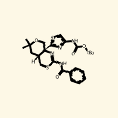 CC(C)(C)OC(=O)Nc1csc([C@]23COC(C)(C)C[C@H]2CSC(NC(=O)c2ccccc2)=N3)n1